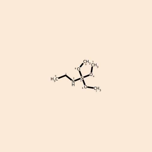 CCN[Si](OC)(OC)OC